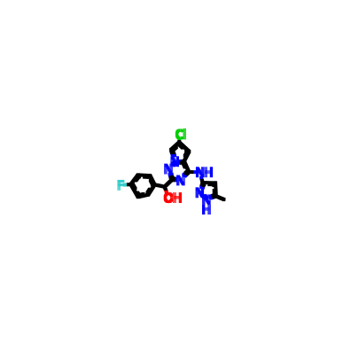 Cc1cc(Nc2nc(C(O)c3ccc(F)cc3)nn3cc(Cl)cc23)n[nH]1